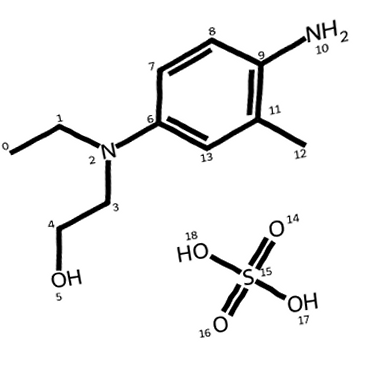 CCN(CCO)c1ccc(N)c(C)c1.O=S(=O)(O)O